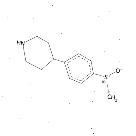 C[S@@+]([O-])c1ccc(C2CCNCC2)cc1